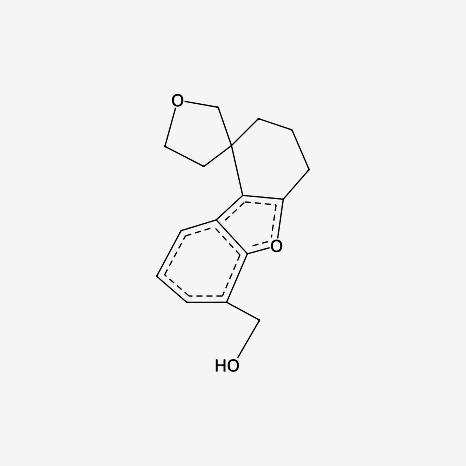 OCc1cccc2c3c(oc12)CCCC31CCOC1